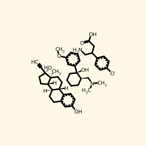 C#C[C@]1(O)CC[C@H]2[C@@H]3CCc4cc(O)ccc4[C@H]3CC[C@@]21C.COc1cccc([C@@]2(O)CCCC[C@@H]2CN(C)C)c1.NCC(CC(=O)O)c1ccc(Cl)cc1